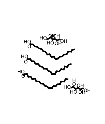 CCCCCCCC/C=C\CCCCCCCCCCCC(=O)O.CCCCCCCC/C=C\CCCCCCCCCCCC(=O)O.CCCCCCCC/C=C\CCCCCCCCCCCC(=O)O.OC[C@@H](O)[C@@H](O)[C@H](O)[C@@H](O)CO.OC[C@@H](O)[C@@H](O)[C@H](O)[C@@H](O)CO